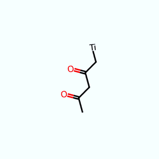 CC(=O)CC(=O)[CH2][Ti]